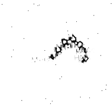 COc1nc(-c2ccnc(-c3cccc(Nc4nccc(CN5CC(OC)C5)c4F)c3Cl)c2Cl)ccc1CNC[C@H]1CCC(=O)N1